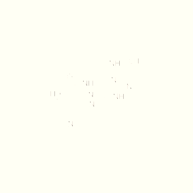 C=CC(=O)Nc1cccc(Nc2nc(Nc3cnn(C4CCN(C)CC4)c3)ncc2C)c1